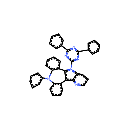 c1ccc(-c2nc(-c3ccccc3)nc(-n3c4c(c5ncccc53)-c3ccccc3N(c3ccccc3)c3ccccc3-4)n2)cc1